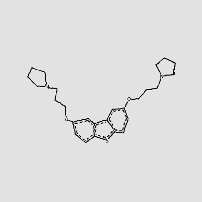 c1cc2sc3ccc(OCCCN4CCCC4)cc3c2cc1OCCCN1CCCC1